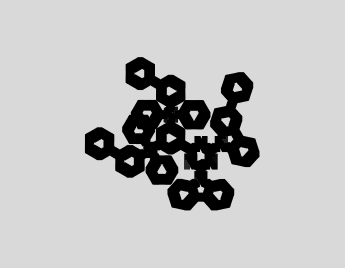 c1ccc(-c2cccc([Si](c3ccccc3)(c3ccccc3)c3cc(-c4nc(-n5c6ccccc6c6ccccc65)nc(-n5c6ccccc6c6cc(-c7ccccc7)ccc65)n4)cc([Si](c4ccccc4)(c4ccccc4)c4cccc(-c5ccccc5)c4)c3)c2)cc1